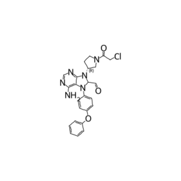 Nc1ncnc2c1N(c1ccc(Oc3ccccc3)cc1)C(C=O)N2[C@@H]1CCN(C(=O)CCl)C1